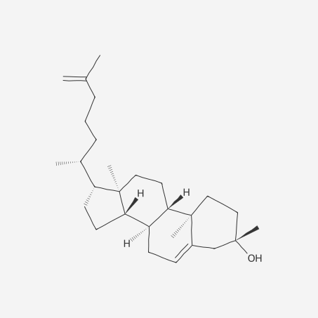 C=C(C)CCC[C@@H](C)[C@H]1CC[C@H]2[C@@H]3CC=C4C[C@@](C)(O)CC[C@]4(C)[C@H]3CC[C@]12C